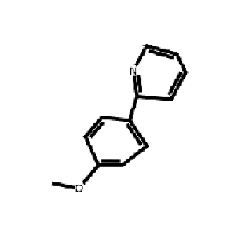 COc1ccc(-c2ccc[c]n2)cc1